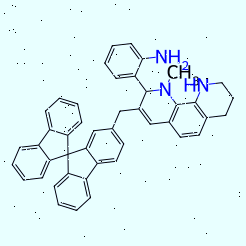 CN1c2c(ccc3c2NCCC3)C=C(Cc2ccc3c(c2)C2(c4ccccc4-c4ccccc42)c2ccccc2-3)C1c1ccccc1N